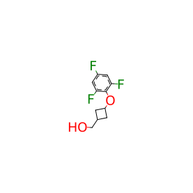 OCC1CC(Oc2c(F)cc(F)cc2F)C1